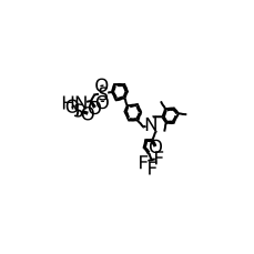 Cc1cc(C)c(CN(Cc2ccc(-c3cccc(S(=O)(=O)CC(=O)NS(C)(=O)=O)c3)cc2)Cc2ccc(C(F)(F)F)o2)c(C)c1